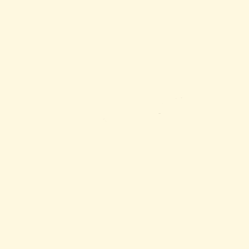 CC(C)OC(=O)C1CCC(C(=O)OC2CCCCC2)CC1